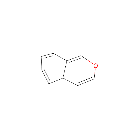 C1=CC2=COC=CC2C=C1